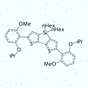 CCCCCC[Si]1(CCCCCC)c2cc(-c3c(OC)cccc3OC(C)C)sc2-c2sc(-c3c(OC)cccc3OC(C)C)cc21